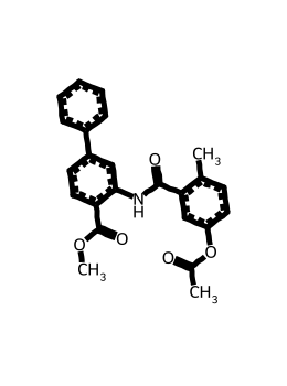 COC(=O)c1ccc(-c2ccccc2)cc1NC(=O)c1cc(OC(C)=O)ccc1C